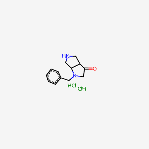 Cl.Cl.O=C1CN(Cc2ccccc2)C2CNCC12